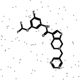 O=C(Nc1cc(F)cc(OC(F)F)c1)c1csc2c1CCN(Cc1cncnc1)C2